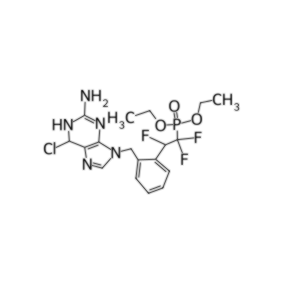 CCOP(=O)(OCC)C(F)(F)C(F)c1ccccc1Cn1cnc2c1N=C(N)NC2Cl